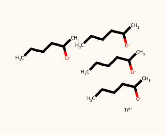 CCCCC(C)[O-].CCCCC(C)[O-].CCCCC(C)[O-].CCCCC(C)[O-].[Ti+4]